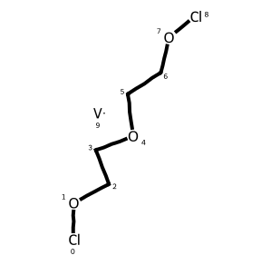 ClOCCOCCOCl.[V]